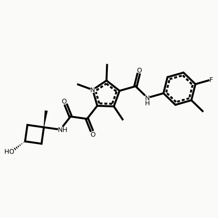 Cc1cc(NC(=O)c2c(C)c(C(=O)C(=O)N[C@]3(C)C[C@H](O)C3)n(C)c2C)ccc1F